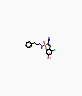 N#C/C(=C/c1ccc(O)cc1Cl)S(=O)(=O)NCCCc1ccccc1